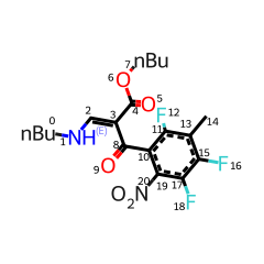 CCCCN/C=C(/C(=O)OCCCC)C(=O)c1c(F)c(C)c(F)c(F)c1[N+](=O)[O-]